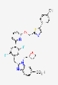 N#Cc1ccc(-c2cnc(COc3cccc(-c4cc(F)c(Cc5nc6ccc(C(=O)O)cc6n5CC5CCO5)cc4F)n3)s2)cc1